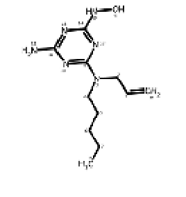 C=CCN(CCCCC)c1nc(N)nc(NO)n1